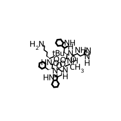 C[C@H](NC(=O)[C@@H](Cc1c[nH]c2ccccc12)NC(=O)[C@@H](N)Cc1cnc[nH]1)C(=O)N[C@@H](Cc1c[nH]c2ccccc12)C(=O)N[C@H](Cc1ccccc1)C(=O)N[C@@H](CCCCN)C(=O)C(C)(C)C